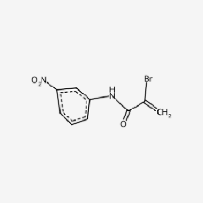 C=C(Br)C(=O)Nc1cccc([N+](=O)[O-])c1